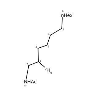 [2H]C(CCCCCCCCCC)CNC(C)=O